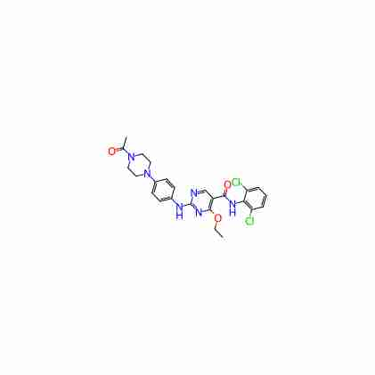 CCOc1nc(Nc2ccc(N3CCN(C(C)=O)CC3)cc2)ncc1C(=O)Nc1c(Cl)cccc1Cl